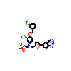 CS(=O)(=O)CCN(Cc1ccc(-c2ccc3ncncc3c2)o1)c1ccc(OCc2cccc(F)c2)c(Cl)c1